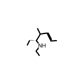 CC=CC(C)[C@@H](CC)NCC